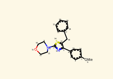 COc1ccc(-c2nc(N3CCOCC3)sc2Cc2ccccc2)cc1